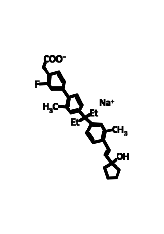 CCC(CC)(c1ccc(C=CC2(O)CCCC2)c(C)c1)c1ccc(-c2ccc(CC(=O)[O-])c(F)c2)c(C)c1.[Na+]